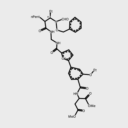 CCCCCC(C(=O)NCNC(=O)c1ccc(-c2ccc(C(=O)NC(CC(=O)OC)C(=O)OC)c(OCC)c2)o1)[C@@H](CC)N(C=O)OCc1ccccc1